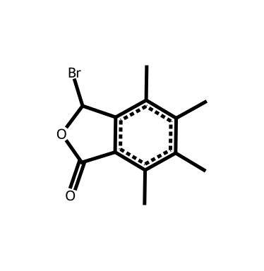 Cc1c(C)c(C)c2c(c1C)C(=O)OC2Br